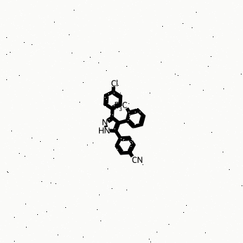 N#Cc1ccc(-c2[nH]nc(-c3ccc(Cl)cc3)c2-c2ccccc2C(F)(F)F)cc1